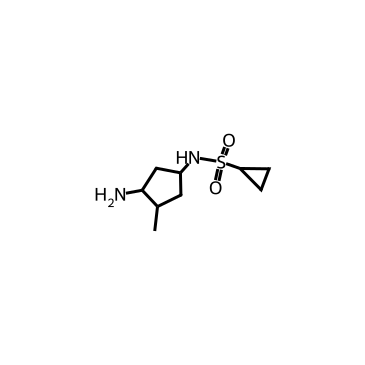 CC1CC(NS(=O)(=O)C2CC2)CC1N